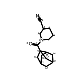 N#CC1CCCN(C(=O)C23CC4CC(CC2C4)C3)C1